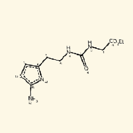 CCOC(=O)CNC(=O)NCCc1csc(N)n1